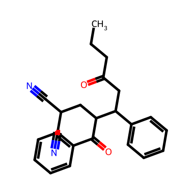 CCCC(=O)CC(c1ccccc1)C(CC(C#N)C#N)C(=O)c1ccccc1